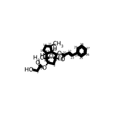 CC[C@@]12C[C@@H](OC(=O)CO)[C@@](C)(O1)[C@@H]1CC[C@@H](C)[C@H]1[C@@H]2OC(=O)/C=C/c1ccccc1